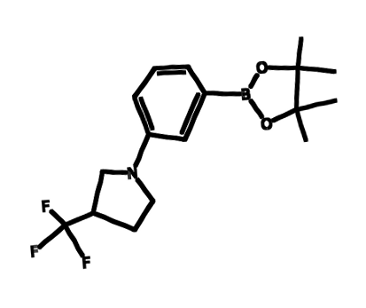 CC1(C)OB(c2cccc(N3CCC(C(F)(F)F)C3)c2)OC1(C)C